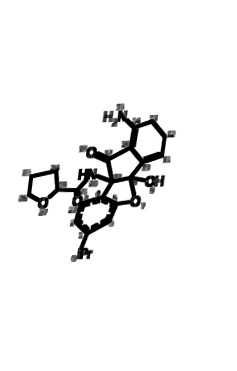 CC(C)c1ccc2c(c1)OC1(O)C3=CCCC(N)=C3C(=O)C21NC(=O)C1CCCO1